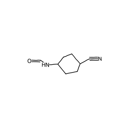 N#CC1CCC(NC=O)CC1